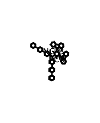 N#Cc1c(N(c2ccc(-c3ccc(-c4ccccc4)cc3)cc2)c2ccc(-c3ccc(-c4ccccc4)cc3)cc2)c(C#N)c2c3c1-n1c4ccccc4c4cccc(c41)B3c1cccc3c4ccccc4n-2c13